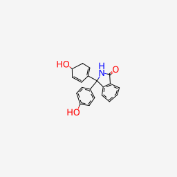 O=C1NC(C2=CCC(O)C=C2)(c2ccc(O)cc2)c2ccccc21